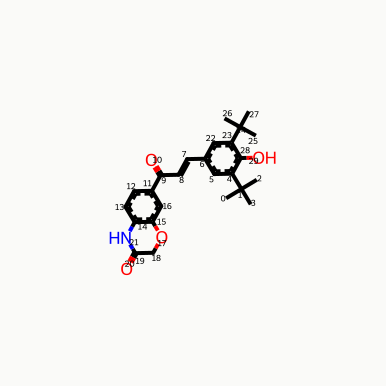 CC(C)(C)c1cc(C=CC(=O)c2ccc3c(c2)OCC(=O)N3)cc(C(C)(C)C)c1O